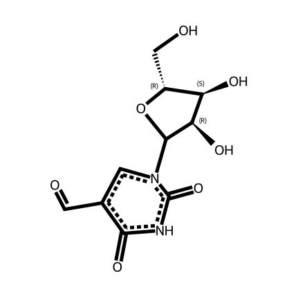 O=Cc1cn(C2O[C@H](CO)[C@@H](O)[C@H]2O)c(=O)[nH]c1=O